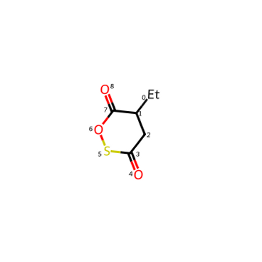 CCC1CC(=O)SOC1=O